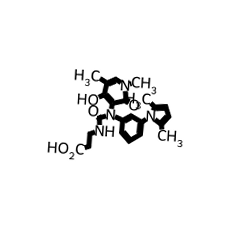 Cc1cn(C)c(=O)c(N(C(=O)NCCC(=O)O)c2cccc(-n3c(C)ccc3C)c2)c1O